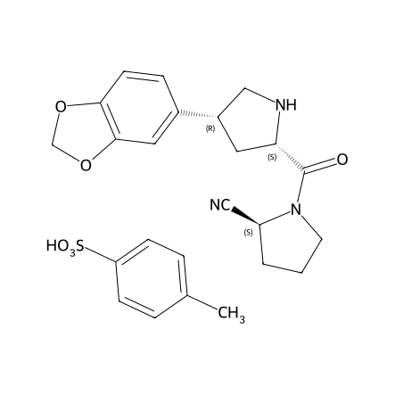 Cc1ccc(S(=O)(=O)O)cc1.N#C[C@@H]1CCCN1C(=O)[C@@H]1C[C@H](c2ccc3c(c2)OCO3)CN1